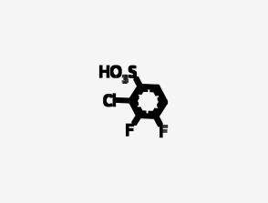 O=S(=O)(O)c1ccc(F)c(F)c1Cl